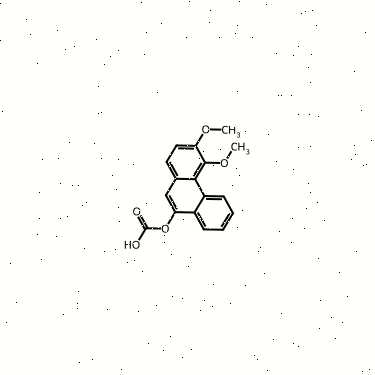 COc1ccc2cc(OC(=O)O)c3ccccc3c2c1OC